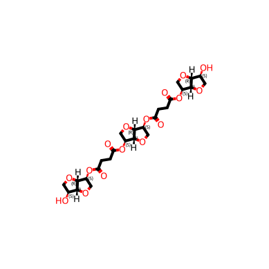 O=C(CCC(=O)O[C@H]1CO[C@H]2[C@@H]1OC[C@@H]2O)O[C@H]1CO[C@H]2[C@@H]1OC[C@@H]2OC(=O)CCC(=O)O[C@H]1CO[C@H]2[C@@H]1OC[C@@H]2O